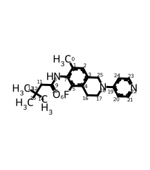 Cc1cc2c(c(F)c1NC(=O)CC(C)(C)C)CCN(c1ccncc1)C2